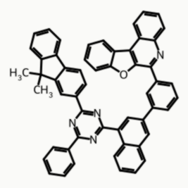 CC1(C)c2ccccc2-c2ccc(-c3nc(-c4ccccc4)nc(-c4cc(-c5cccc(-c6nc7ccccc7c7c6oc6ccccc67)c5)cc5ccccc45)n3)cc21